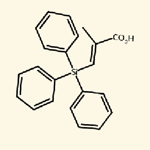 CC(=C[Si](c1ccccc1)(c1ccccc1)c1ccccc1)C(=O)O